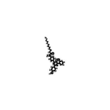 CCCCCCCCCCCC(=O)Nc1ccc(-c2nc(-c3ccc(OC)cc3)nc(-c3ccccc3O)n2)cc1